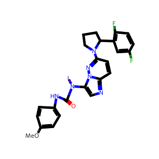 COc1ccc(NC(=O)N(I)c2cnc3ccc(N4CCCC4c4cc(F)ccc4F)nn23)cc1